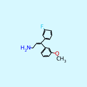 COc1cccc(/C(=C\CN)c2cccc(F)c2)c1